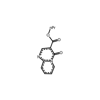 CCCOC(=O)c1cnc2ccccn2c1=O